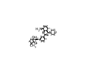 CN1CCC(O)(C#Cc2cccc(-c3nc(N4CCOCC4)c4ccnc(N)c4n3)c2)C1=O